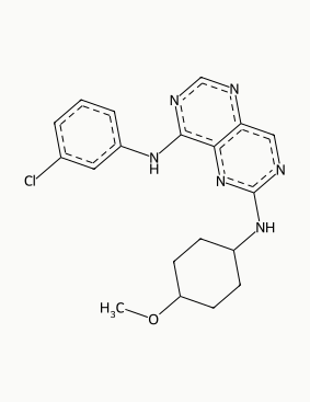 COC1CCC(Nc2ncc3ncnc(Nc4cccc(Cl)c4)c3n2)CC1